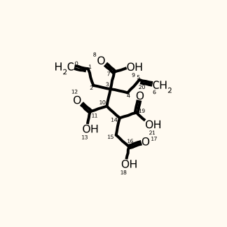 C=CCC(CC=C)(C(=O)O)C(C(=O)O)C(CC(=O)O)C(=O)O